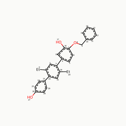 CCc1cc(-c2ccc(OCc3ccccc3)c(O)c2)c(CC)cc1-c1ccc(O)cc1